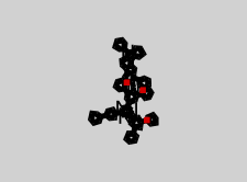 c1ccc(-c2ccc(-c3nc(-c4cc(-c5ccccc5)cc(-c5ccccc5)c4)nc(-c4cc(-c5ccccc5)c(-n5c6ccccc6c6c7c(ccc65)-c5ccc6c(c5C7)c5ccccc5n6-c5ccccc5)c(-c5ccccc5)c4)n3)cc2)cc1